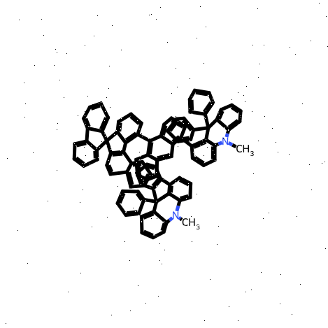 CN1c2ccccc2C(c2ccccc2)(c2ccccc2)c2c(-c3cccc4c(-c5cccc6c5-c5c(ccc7ccccc57)C65c6ccccc6-c6ccccc65)c5cccc(-c6cccc7c6C(c6ccccc6)(c6ccccc6)c6ccccc6N7C)c5cc34)cccc21